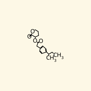 CCC(C)c1ccc(CC(=O)OC2CCCOC2=O)cc1